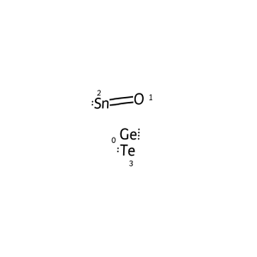 [Ge].[O]=[Sn].[Te]